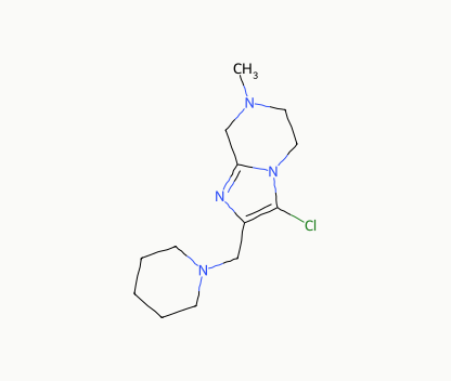 CN1CCn2c(nc(CN3CCCCC3)c2Cl)C1